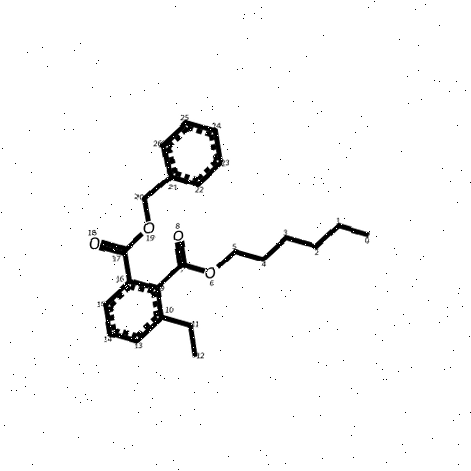 CCCCCCOC(=O)c1c(CC)cccc1C(=O)OCc1ccccc1